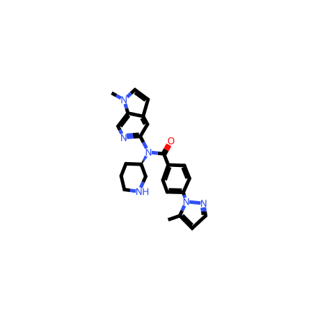 Cc1ccnn1-c1ccc(C(=O)N(c2cc3ccn(C)c3cn2)[C@@H]2CCCNC2)cc1